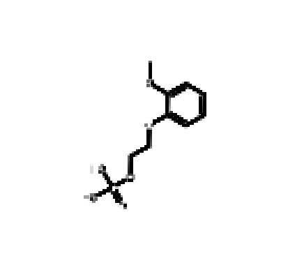 COc1ccccc1OCCOP(=O)(O)O